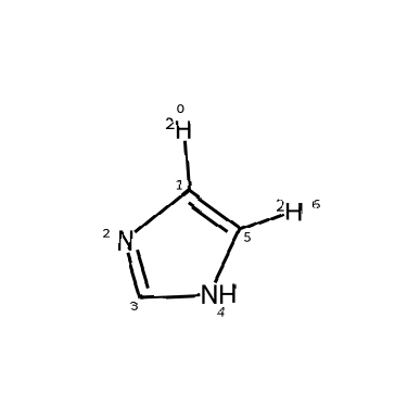 [2H]c1nc[nH]c1[2H]